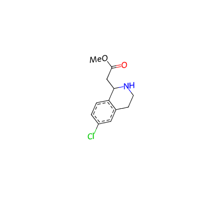 COC(=O)CC1NCCc2cc(Cl)ccc21